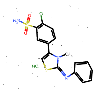 Cl.Cn1c(-c2ccc(Cl)c(S(N)(=O)=O)c2)cs/c1=N/c1ccccc1